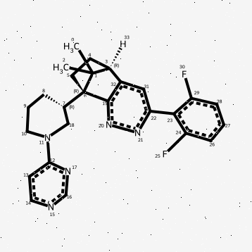 CC1(C)[C@H]2CC[C@]1([C@H]1CCCN(c3ccncn3)C1)c1nnc(-c3c(F)cccc3F)cc12